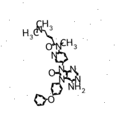 CN(C)C/C=C/C(=O)N(C)c1ccc(-n2c(=O)n(-c3ccc(Oc4ccccc4)cc3)c3c(N)ncnc32)cn1